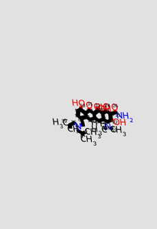 CC(C)CN(Cc1ccc(O)c2c1C[C@@H]1C[C@@H]3[C@@H](N(C)C)C(O)=C(C(N)=O)C(=O)[C@]3(O)C(O)=C1C2=O)CC(C)C